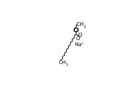 C=Cc1ccc(C(CCCCCCCCCCCCCCCC)C(=O)[O-])cc1.[Na+]